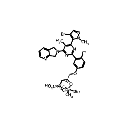 Cc1c(-c2c(Br)cnn2C)nc(-c2cc(OC[C@@H](CN(C)C(=O)O)O[Si](C)(C)C(C)(C)C)ccc2Cl)nc1N1Cc2cccnc2C1